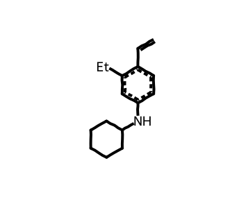 C=Cc1ccc(NC2CCCCC2)cc1CC